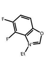 CC[n+]1coc2ccc(F)c(F)c21